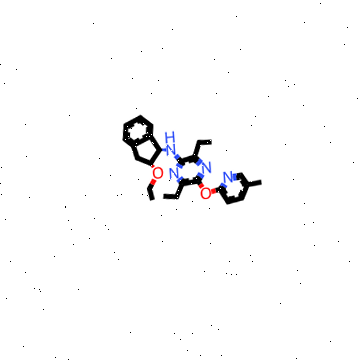 CCO[C@H]1Cc2ccccc2[C@H]1Nc1nc(CC)c(Oc2ccc(C)cn2)nc1CC